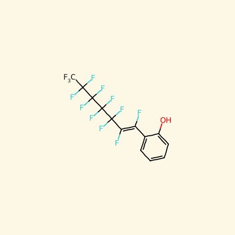 Oc1ccccc1C(F)=C(F)C(F)(F)C(F)(F)C(F)(F)C(F)(F)C(F)(F)F